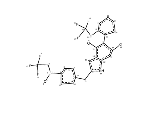 [O-][S+](CC(F)(F)F)c1ccc(Cc2nc3c(Cl)c(-c4ccccc4OC(F)(F)F)c(Cl)cc3[nH]2)cc1